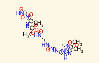 COc1cc(/N=N\c2cccc3c2CN(C2CCC(=O)NC2=O)C3=O)cc(OC)c1OCC(=O)NCCCCCNCC(=O)N1CCN(c2ccc(Nc3ncc4c(C)c(C(C)=O)c(=O)n(C5CCCC5)c4n3)nc2)CC1